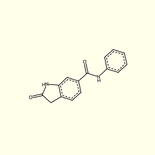 O=C1Cc2ccc(C(=O)Nc3ccccc3)cc2N1